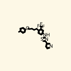 Cc1ccc(OCCCCc2ccc(Nc3nc(-c4cccnc4)cs3)cc2C(F)(F)F)cc1